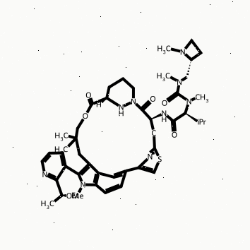 CCn1c(-c2cccnc2[C@H](C)OC)c2c3cc(ccc31)-c1csc(n1)C[C@H](NC(=O)[C@H](C(C)C)N(C)C(=O)N(C)C[C@H]1CCN1C)C(=O)N1CCC[C@H](N1)C(=O)OCC(C)(C)C2